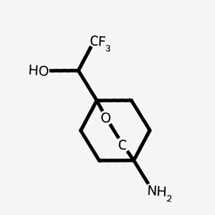 NC12CCC(C(O)C(F)(F)F)(CC1)OC2